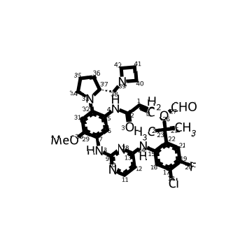 C=CC(=O)Nc1cc(Nc2nccc(Nc3cc(Cl)c(F)cc3C(C)(C)OC=O)n2)c(OC)cc1N1CCC[C@@H]1CN1CCC1